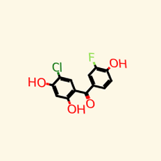 O=C(c1ccc(O)c(F)c1)c1cc(Cl)c(O)cc1O